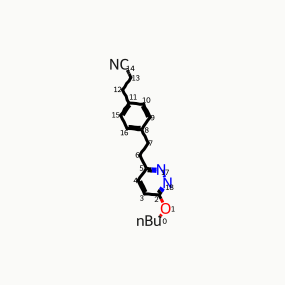 CCCCOc1ccc(CCc2ccc(CCC#N)cc2)nn1